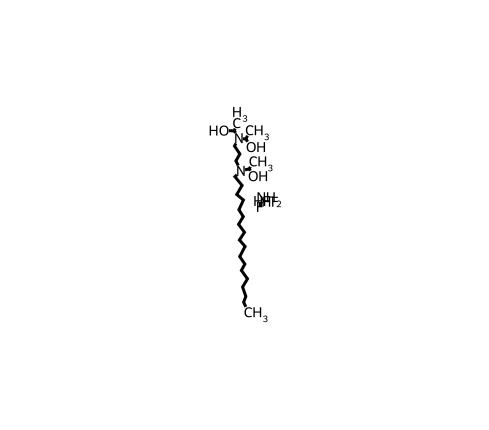 CCCCCCCCCCCCCCCCCCN(CCCN(C(C)O)C(C)O)C(C)O.F.F.NF